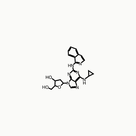 OCC1OC(n2cnc3c(NC4CC4)nc(Nc4nccc5ccccc45)nc32)CC1O